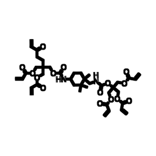 C=CC(=O)CCC(COC(=O)C=C)(COC(=O)C=C)COC(=O)NC1CCC(C)(CNC(=O)OC(COC(=O)C=C)(COC(=O)C=C)COC(=O)C=C)C(C)(C)C1